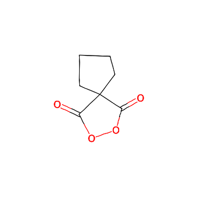 O=C1OOC(=O)C12CCCC2